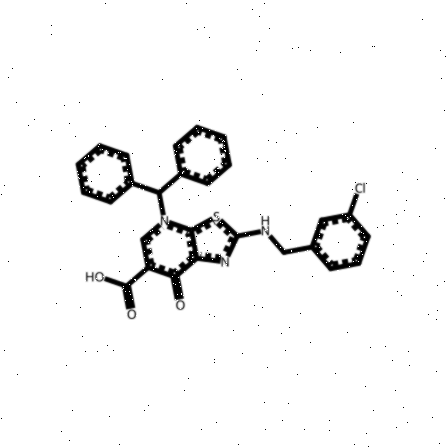 O=C(O)c1cn(C(c2ccccc2)c2ccccc2)c2sc(NCc3cccc(Cl)c3)nc2c1=O